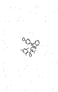 COc1ccc(-n2c(CN(C(=O)c3c(C)cc(C)cc3C)C(C)C)nc3ccccc32)cc1